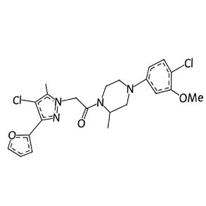 COc1cc(N2CCN(C(=O)Cn3nc(-c4ccco4)c(Cl)c3C)C(C)C2)ccc1Cl